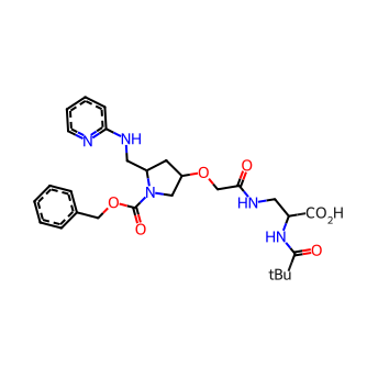 CC(C)(C)C(=O)NC(CNC(=O)COC1CC(CNc2ccccn2)N(C(=O)OCc2ccccc2)C1)C(=O)O